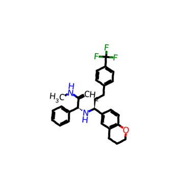 C=C(NC)[C@H](N[C@@H](CCc1ccc(C(F)(F)F)cc1)c1ccc2c(c1)CCCO2)c1ccccc1